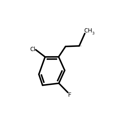 C[CH]Cc1cc(F)ccc1Cl